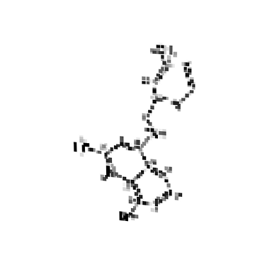 Cc1cccc(CNc2cc(C)nc3c(Br)cccc23)c1